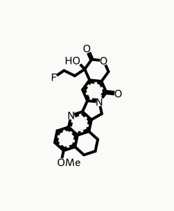 COc1ccc2nc3c(c4c2c1CCC4)Cn1c-3cc2c(c1=O)COC(=O)C2(O)CCF